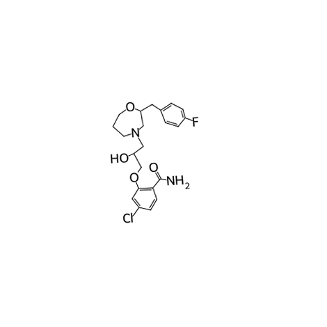 NC(=O)c1ccc(Cl)cc1OCC(O)CN1CCCOC(Cc2ccc(F)cc2)C1